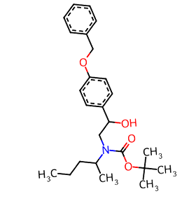 CCCC(C)N(CC(O)c1ccc(OCc2ccccc2)cc1)C(=O)OC(C)(C)C